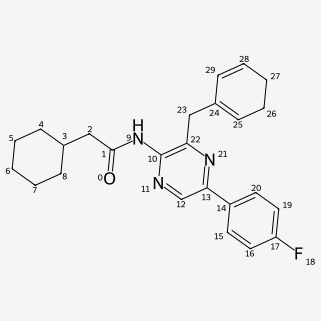 O=C(CC1CCCCC1)Nc1ncc(-c2ccc(F)cc2)nc1CC1=CCCC=C1